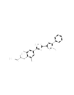 Cc1cc(-c2noc(-c3cc(-c4ccccc4)n(C)n3)n2)cc(C)c1CC(O)CO